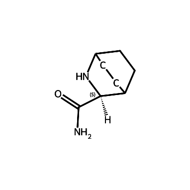 NC(=O)[C@H]1NC2CCC1CC2